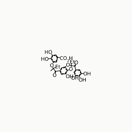 CCC(C)(Oc1cc(C(=O)O)cc(O)c1O)C(=O)c1cc(O)c2c(c1)OC(CC)(C(=O)c1cc(O)c(O)c(O)c1)O2